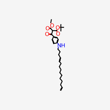 C=CCCCCCCCCC=CCCCNc1ccc(C(=O)C(C(=O)OCC)C(=O)OC(C)(C)C)cc1